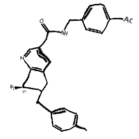 CC(=O)c1ccc(CNC(=O)c2cnc3c(c2)CC(Cc2ccc(C)cc2)[C@H]3C(C)C)cc1